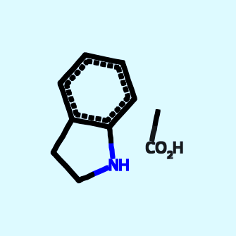 CC(=O)O.c1ccc2c(c1)CCN2